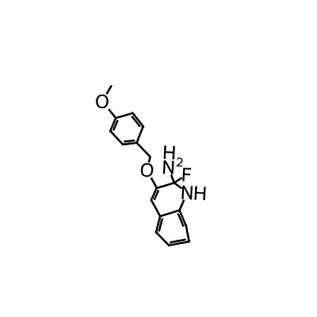 COc1ccc(COC2=Cc3ccccc3NC2(N)F)cc1